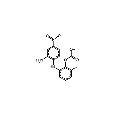 Cc1cccc(Nc2ccc([N+](=O)[O-])cc2N)c1OC(=O)O